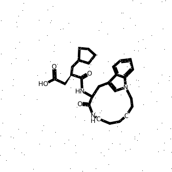 O=C(O)C[C@@H](CC1CCCC1)C(=O)NC1Cc2cn(c3ccccc23)CCCCCCNC1=O